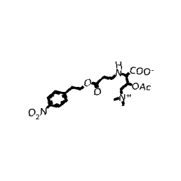 CC(=O)OC(C[N+](C)(C)C)C(NCCC(=O)OCCc1ccc([N+](=O)[O-])cc1)C(=O)[O-]